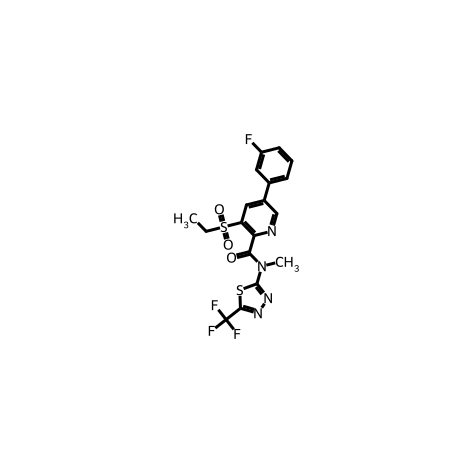 CCS(=O)(=O)c1cc(-c2cccc(F)c2)cnc1C(=O)N(C)c1nnc(C(F)(F)F)s1